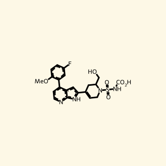 COc1ccc(F)cc1-c1ccnc2[nH]c(C3=CCN(S(=O)(=O)NC(=O)O)C(CO)C3)cc12